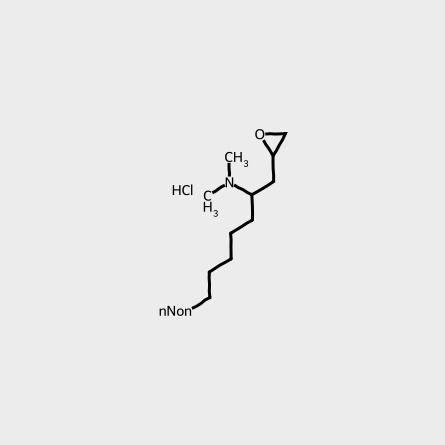 CCCCCCCCCCCCCCC(CC1CO1)N(C)C.Cl